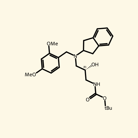 COc1ccc(CN(C[C@H](O)CNC(=O)OC(C)(C)C)C2Cc3ccccc3C2)c(OC)c1